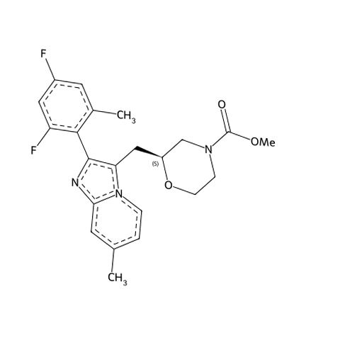 COC(=O)N1CCO[C@@H](Cc2c(-c3c(C)cc(F)cc3F)nc3cc(C)ccn23)C1